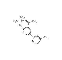 CC1=CC(C)(C)Nc2ccc(-c3cccc(C)c3)cc21